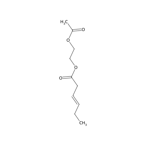 CCC=CCC(=O)OCCOC(C)=O